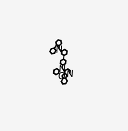 c1ccc(N(c2ccc(-c3cccc(-n4c5ccccc5c5ccccc54)c3)cc2)c2ccnc3c2oc2ccccc23)cc1